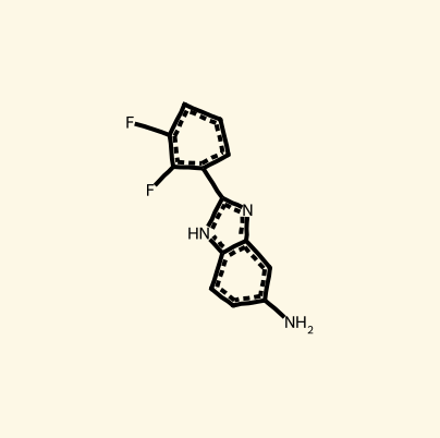 Nc1ccc2[nH]c(-c3cccc(F)c3F)nc2c1